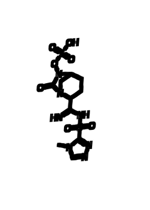 Cn1cnnc1S(=O)(=O)NC(=N)C1CCC2CN1C(=O)N2OS(=O)(=O)O